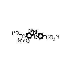 COc1cc2c(Oc3ccc(CC(=O)O)cc3F)ncnc2cc1OCCO